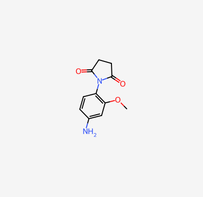 COc1cc(N)ccc1N1C(=O)CCC1=O